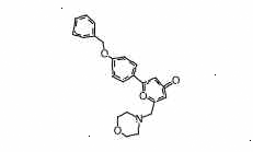 O=c1cc(CN2CCOCC2)oc(-c2ccc(OCc3ccccc3)cc2)c1